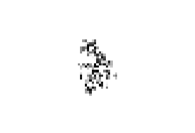 CCN(C)C(=O)C(S[C@@H]1O[C@H](CO)[C@H](O)[C@H](n2cc(-c3cc(F)c(F)c(F)c3)nn2)[C@H]1OC)C1(O)CCC(F)(F)CC1